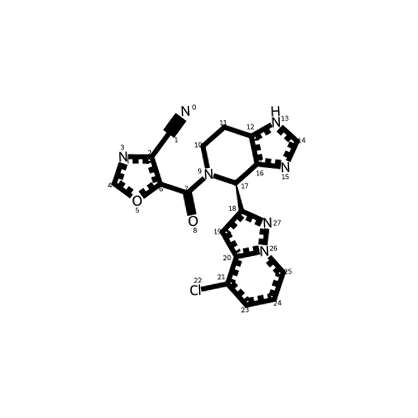 N#Cc1ncoc1C(=O)N1CCc2[nH]cnc2[C@H]1c1cc2c(Cl)cccn2n1